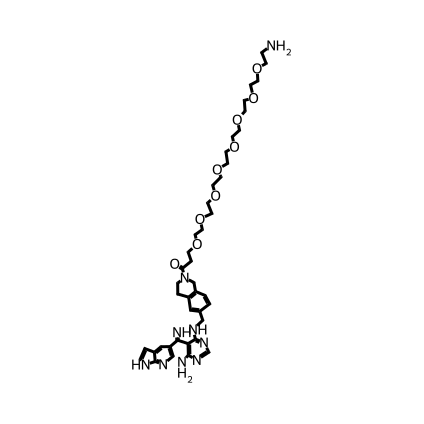 N=C(c1cnc2[nH]ccc2c1)c1c(N)ncnc1NCc1ccc2c(c1)CCN(C(=O)CCOCCOCCOCCOCCOCCOCCOCCOCCN)C2